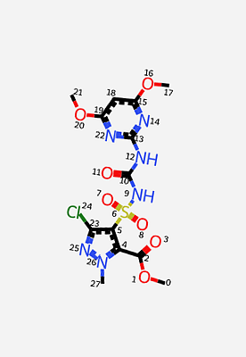 COC(=O)c1c(S(=O)(=O)NC(=O)Nc2nc(OC)cc(OC)n2)c(Cl)nn1C